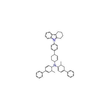 CC1CC(c2ccccc2)=CC=C1N(C1C=CC(c2ccc(-n3c4c(c5ccccc53)CCCC4)cc2)CC1)C1C=CC(c2ccccc2)=CC1C